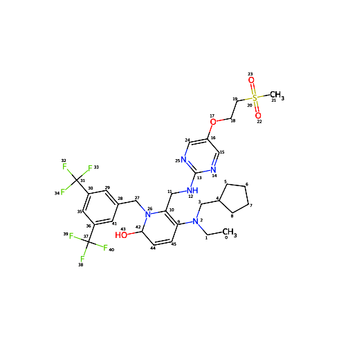 CCN(CC1CCCC1)C1=C(CNc2ncc(OCCS(C)(=O)=O)cn2)N(Cc2cc(C(F)(F)F)cc(C(F)(F)F)c2)C(O)C=C1